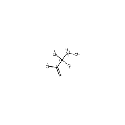 C=C(Cl)C(Cl)(Cl)[SiH2]Cl